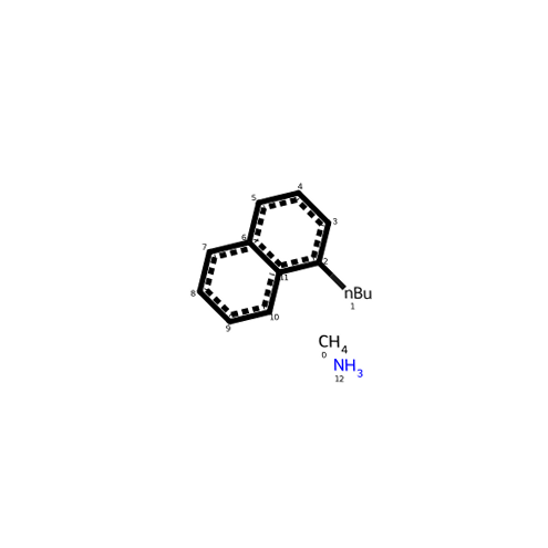 C.CCCCc1cccc2ccccc12.N